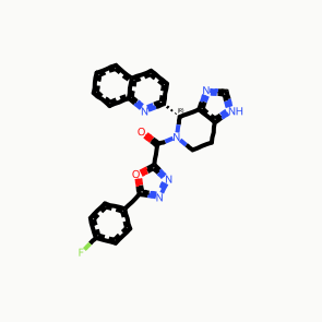 O=C(c1nnc(-c2ccc(F)cc2)o1)N1CCc2[nH]cnc2[C@H]1c1ccc2ccccc2n1